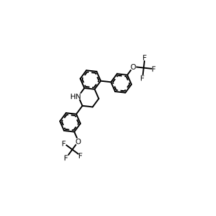 FC(F)(F)Oc1cccc(-c2cccc3c2CCC(c2cccc(OC(F)(F)F)c2)N3)c1